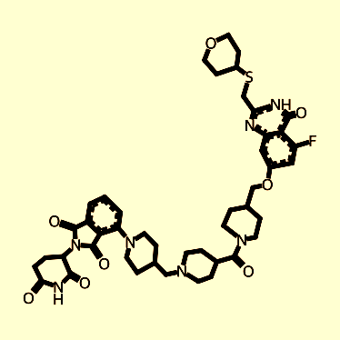 O=C1CCC(N2C(=O)c3cccc(N4CCC(CN5CCC(C(=O)N6CCC(COc7cc(F)c8c(=O)[nH]c(CSC9CCOCC9)nc8c7)CC6)CC5)CC4)c3C2=O)C(=O)N1